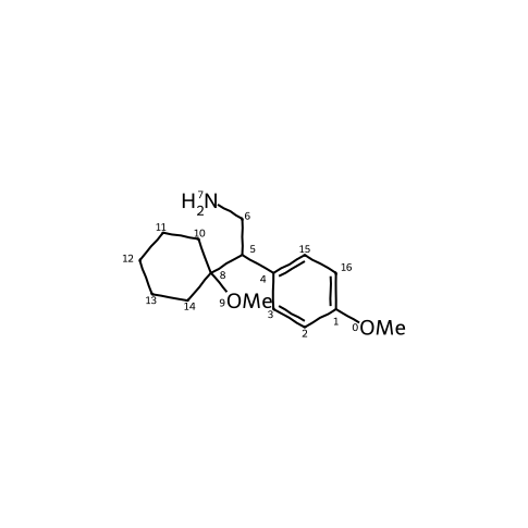 COc1ccc(C(CN)C2(OC)CCCCC2)cc1